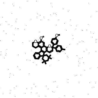 COc1ccc(C2(c3ccc(C)cc3)C=Cc3c4c(c5c6c(c(OC)cc5c3O2)OCCC6)-c2ccccc2C42CC(C)(C)CC(C)(C)C2)cc1